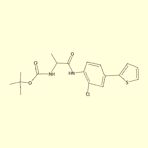 CC(NC(=O)OC(C)(C)C)C(=O)Nc1ccc(-c2cccs2)cc1Cl